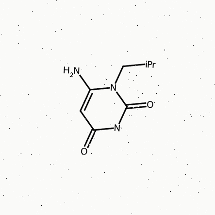 CC(C)CN1C(=O)[N]C(=O)C=C1N